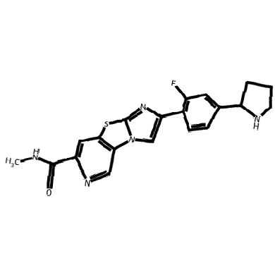 CNC(=O)c1cc2sc3nc(-c4ccc(C5CCCN5)cc4F)cn3c2cn1